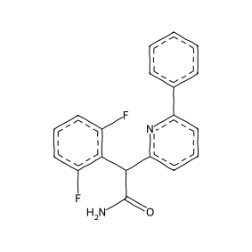 NC(=O)C(c1cccc(-c2ccccc2)n1)c1c(F)cccc1F